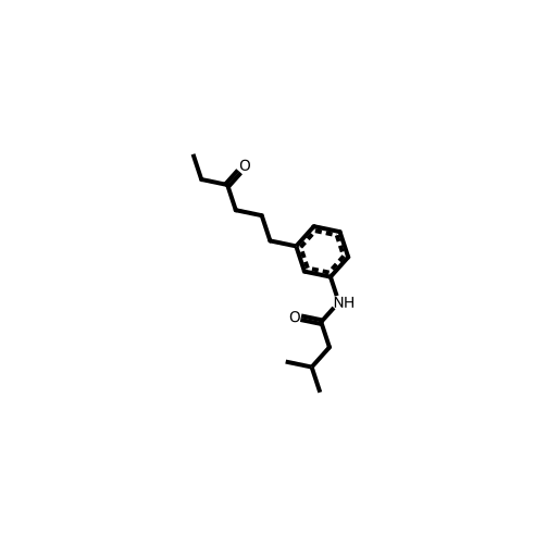 CCC(=O)CCCc1cccc(NC(=O)CC(C)C)c1